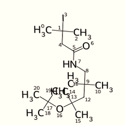 CC(C)(I)CC(=O)NCC(C)(C)CC(C)(C)OC(C)(C)C